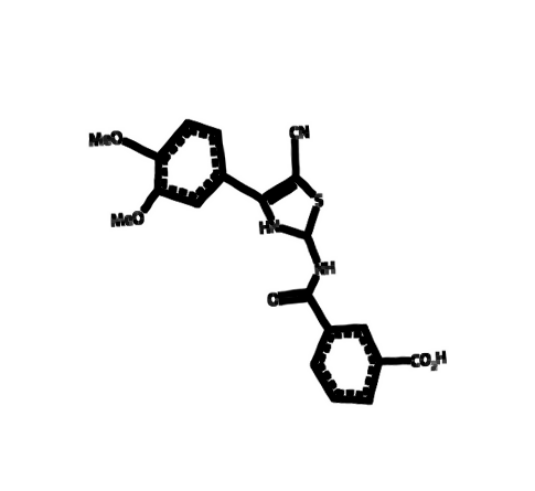 COc1ccc(C2=C(C#N)SC(NC(=O)c3cccc(C(=O)O)c3)N2)cc1OC